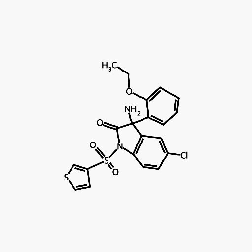 CCOc1ccccc1C1(N)C(=O)N(S(=O)(=O)c2ccsc2)c2ccc(Cl)cc21